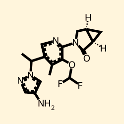 Cc1c(C(C)n2cc(N)cn2)cnc(N2C[C@H]3C[C@H]3C2=O)c1OC(F)F